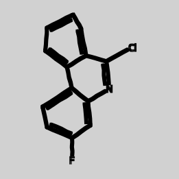 Fc1ccc2c(c1)nc(Cl)c1ccccc12